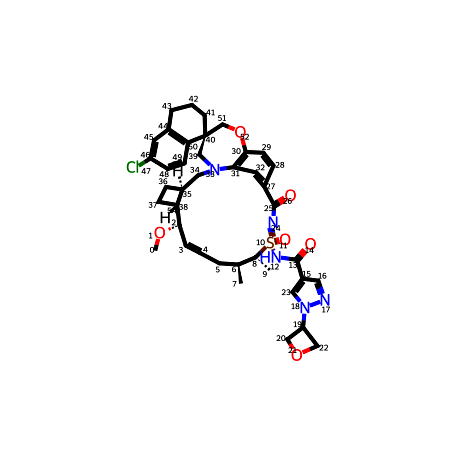 CO[C@H]1/C=C/C[C@H](C)[C@@H](C)S(=O)(NC(=O)c2cnn(C3COC3)c2)=NC(=O)c2ccc3c(c2)N(C[C@@H]2CC[C@H]21)C[C@@]1(CCCc2cc(Cl)ccc21)CO3